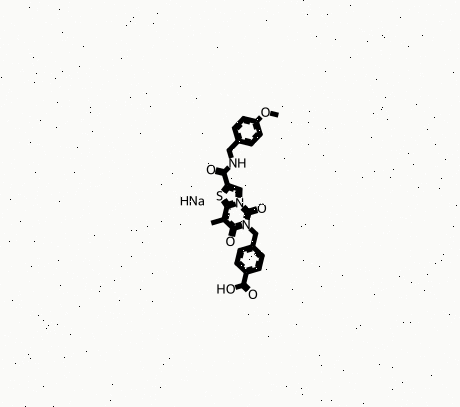 COc1ccc(CNC(=O)c2cn3c(=O)n(Cc4ccc(C(=O)O)cc4)c(=O)c(C)c3s2)cc1.[NaH]